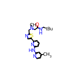 Cc1ccnc(Nc2cccc(-c3cnc(CN(C)CC(=O)NCC(C)(C)C)s3)n2)c1